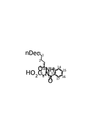 CCCCCCCCCCCCCC(=O)NN(CC(=O)O)C(=O)c1ccccc1